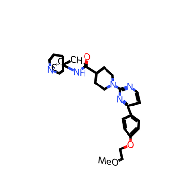 COCCOc1ccc(-c2ccnc(N3CCC(C(=O)NC4(C)CCN5CCC4CC5)CC3)n2)cc1